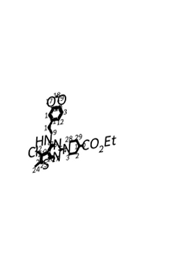 CCOC(=O)C1CCN(c2nc(NCCc3ccc4c(c3)OCO4)c3c(Cl)c(C)sc3n2)CC1